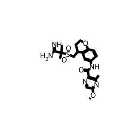 COc1cnc(C(=O)Nc2ccc3c(c2)C(CS(=O)(=O)C(C)(C)C(=N)N)CCO3)c(C)n1